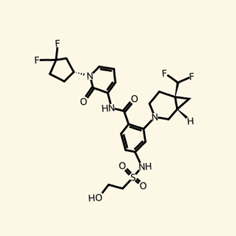 O=C(Nc1cccn([C@@H]2CCC(F)(F)C2)c1=O)c1ccc(NS(=O)(=O)CCO)cc1N1CC[C@]2(C(F)F)C[C@@H]2C1